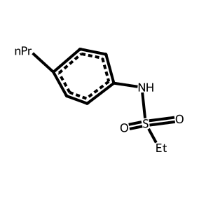 CCCc1ccc(NS(=O)(=O)CC)cc1